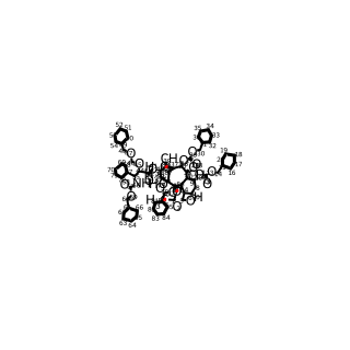 CC(=O)O[C@@]12CO[C@@H]1C[C@H](OC(=O)OCc1ccccc1)[C@@]1(C)C(=O)[C@H](OC(=O)OCc3ccccc3)C3=C(C)[C@@H](OC(=O)[C@H](OCOCc4ccccc4)[C@@H](NC(=O)OCc4ccccc4)c4ccccc4)C[C@@](O)([C@@H](OC(=O)c4ccccc4)[C@H]21)C3(C)C